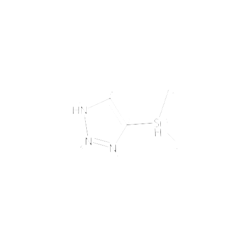 C[SiH](C)c1c[nH]nn1